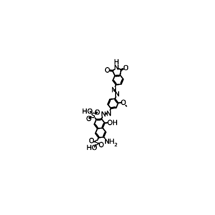 COc1cc(N=Nc2c(S(=O)(=O)O)cc3cc(S(=O)(=O)O)c(N)cc3c2O)ccc1N=Nc1ccc2c(c1)C(=O)NC2=O